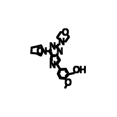 COc1ccc(-c2cc3nc(N4CCOCC4)nc(N4CC5CCC(C4)O5)c3cn2)cc1CO